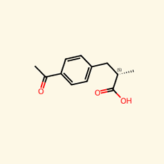 CC(=O)c1ccc(C[C@H](C)C(=O)O)cc1